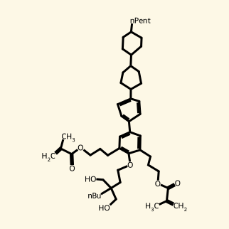 C=C(C)C(=O)OCCCc1cc(-c2ccc(C3CCC(C4CCC(CCCCC)CC4)CC3)cc2)cc(CCCOC(=O)C(=C)C)c1OCCC(CO)(CO)CCCC